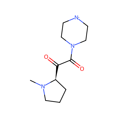 CN1CCC[C@@H]1C(=O)C(=O)N1CC[N]CC1